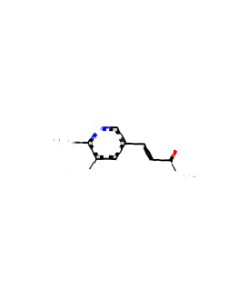 CNc1ncc(C=CC(=O)OC)cc1C(=O)O